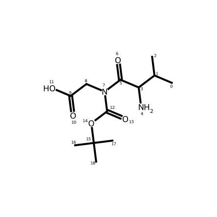 CC(C)C(N)C(=O)N(CC(=O)O)C(=O)OC(C)(C)C